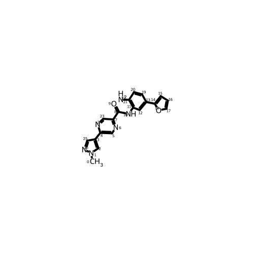 Cn1cc(-c2cnc(C(=O)Nc3cc(-c4ccco4)ccc3N)cn2)cn1